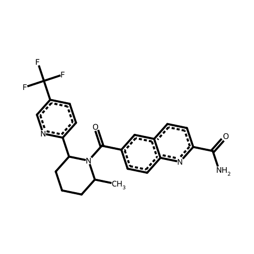 CC1CCCC(c2ccc(C(F)(F)F)cn2)N1C(=O)c1ccc2nc(C(N)=O)ccc2c1